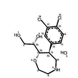 Cl.OC[C@H](O)[C@H]1OCCNC[C@@H]1c1ccc(Cl)c(Cl)c1